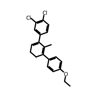 CCOc1ccc(C2=C(C)C(c3ccc(Cl)c(Cl)c3)=CC[CH]2)cc1